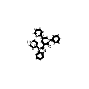 O=c1c(-c2nc3ccccc3n2C2CCNCC2)cc(-c2ccccn2)cn1-c1ccccc1